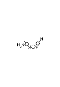 C=C(c1ccc(C)c(N)c1)N1CCC(F)(c2ccc(C#N)cc2)CC1